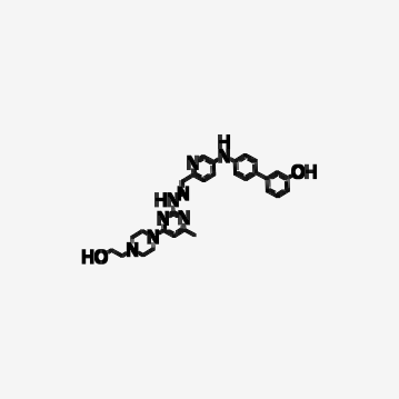 Cc1cc(N2CCN(CCO)CC2)nc(N/N=C/c2ccc(Nc3ccc(-c4cccc(O)c4)cc3)cn2)n1